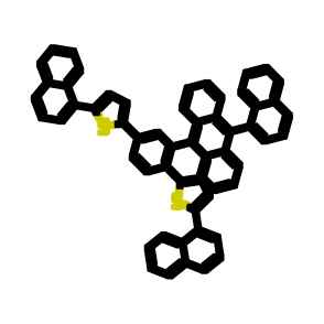 c1ccc2c(-c3ccc(-c4ccc(-c5ccc(-c6cccc7ccccc67)s5)c(-c5c6ccccc6c(-c6cccc7ccccc67)c6ccccc56)c4)s3)cccc2c1